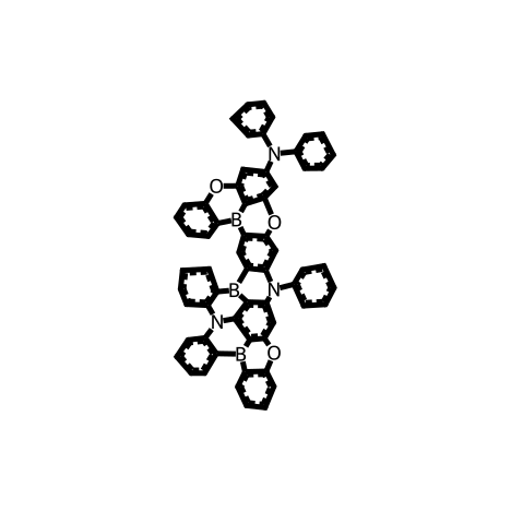 c1ccc(N(c2ccccc2)c2cc3c4c(c2)Oc2cc5c(cc2B4c2ccccc2O3)B2c3ccccc3N3c4ccccc4B4c6ccccc6Oc6cc(c2c3c64)N5c2ccccc2)cc1